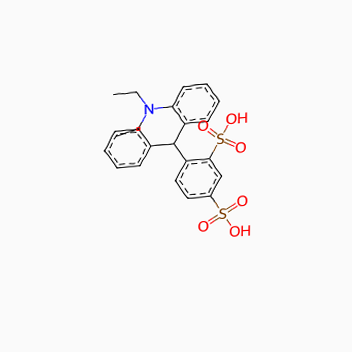 CCN(CC)c1ccccc1C(c1ccccc1)c1ccc(S(=O)(=O)O)cc1S(=O)(=O)O